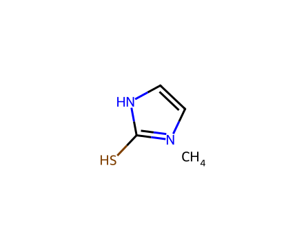 C.Sc1ncc[nH]1